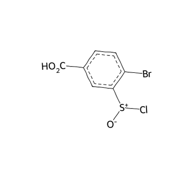 O=C(O)c1ccc(Br)c([S+]([O-])Cl)c1